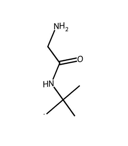 [CH2]C(C)(C)NC(=O)CN